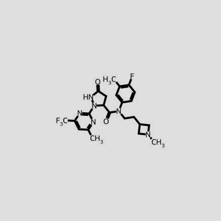 Cc1cc(C(F)(F)F)nc(N2NC(=O)CC2C(=O)N(CCC2CN(C)C2)c2ccc(F)c(C)c2)n1